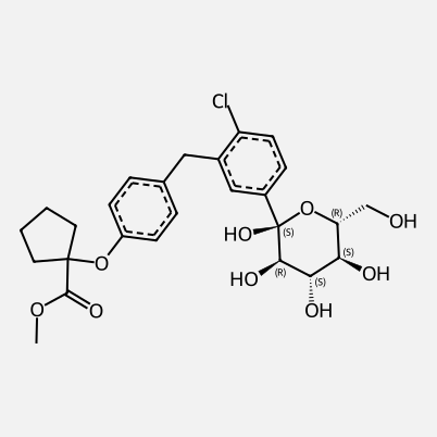 COC(=O)C1(Oc2ccc(Cc3cc([C@]4(O)O[C@H](CO)[C@@H](O)[C@H](O)[C@H]4O)ccc3Cl)cc2)CCCC1